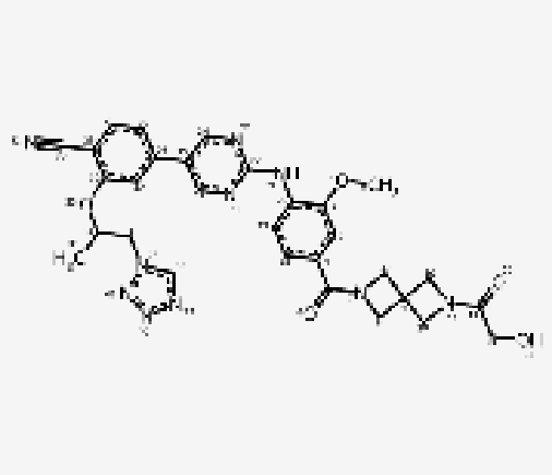 COc1cc(C(=O)N2CC3(CN(C(=O)CO)C3)C2)ccc1Nc1ncc(-c2ccc(C#N)c(OC(C)Cn3cnnn3)c2)cn1